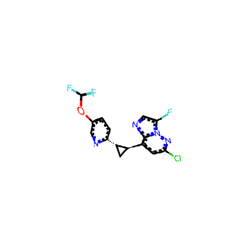 Fc1cnc2c([C@H]3C[C@@H]3c3ccc(OC(F)F)cn3)cc(Cl)nn12